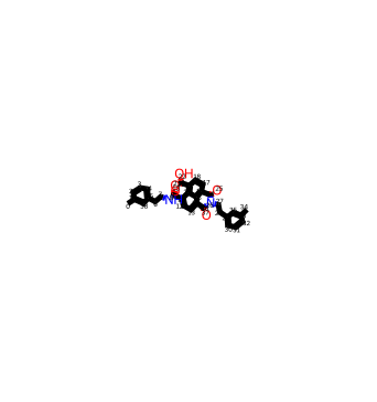 Cc1cccc(CCNC(=O)c2ccc3c4c(ccc(C(=O)O)c24)C(=O)N(CCc2cccc(C)c2)C3=O)c1